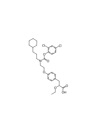 CCOC(Cc1ccc(OCCN(CCCC2CCCCC2)C(=O)Oc2ccc(Cl)cc2Cl)cc1)C(=O)O